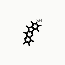 Cc1cc2c(C)c3c(cc2c(C)c1C)-c1c(C)c(C)c(S)c(C)c1C3C